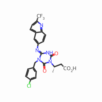 C[C@@H](CC(=O)O)n1c(=O)[nH]/c(=N\c2ccc3nc(C(F)(F)F)ccc3c2)n(Cc2ccc(Cl)cc2)c1=O